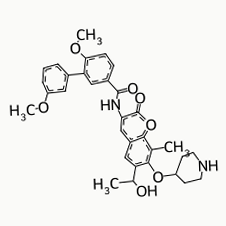 COc1cccc(-c2cc(C(=O)Nc3cc4cc(C(C)O)c(OC5CCNCC5)c(C)c4oc3=O)ccc2OC)c1